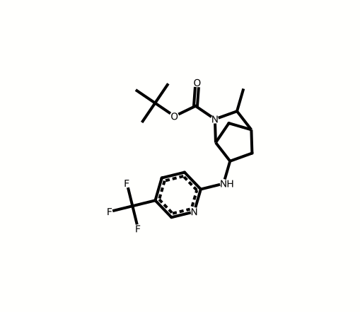 CC1C2CC(Nc3ccc(C(F)(F)F)cn3)C(C2)N1C(=O)OC(C)(C)C